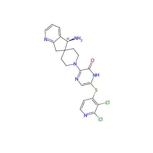 N[C@@H]1c2cccnc2CC12CCN(c1ncc(Sc3ccnc(Cl)c3Cl)[nH]c1=O)CC2